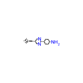 C[Si](C)(C)C#Cc1cnc(-c2ccc(N)cc2)nc1